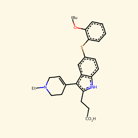 CCN1CC=C(c2c(CCC(=O)O)[nH]c3ccc(Sc4ccccc4OC(C)(C)C)cc23)CC1